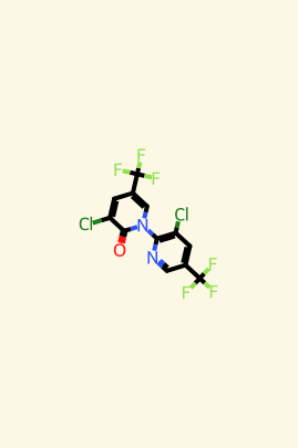 O=c1c(Cl)cc(C(F)(F)F)cn1-c1ncc(C(F)(F)F)cc1Cl